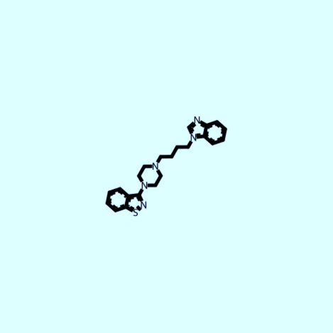 c1ccc2c(c1)ncn2CCCCN1CCN(c2nsc3ccccc23)CC1